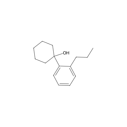 CCCc1ccccc1C1(O)CCCCC1